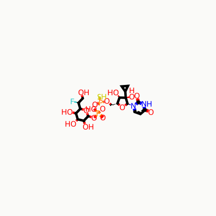 O=c1ccn([C@@H]2O[C@H](COP(=O)(S)OP(=O)(O)OC3OC([C@@H](F)CO)C(O)C(O)C3O)[C@@H](O)[C@]2(O)C2CC2)c(=O)[nH]1